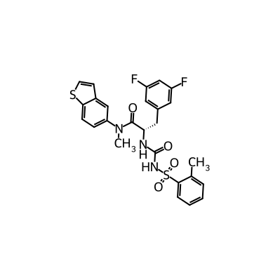 Cc1ccccc1S(=O)(=O)NC(=O)N[C@@H](Cc1cc(F)cc(F)c1)C(=O)N(C)c1ccc2sccc2c1